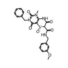 COc1cccc(CNC(=O)C2C(=O)Nc3c(c(=O)n(Cc4ccccc4)c(=O)n3C)[S+]2[O-])c1